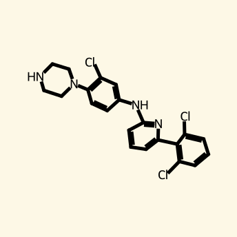 Clc1cc(Nc2cccc(-c3c(Cl)cccc3Cl)n2)ccc1N1CCNCC1